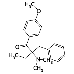 CCC(Cc1ccccc1)(C(=O)c1ccc(OC)cc1)N(C)C